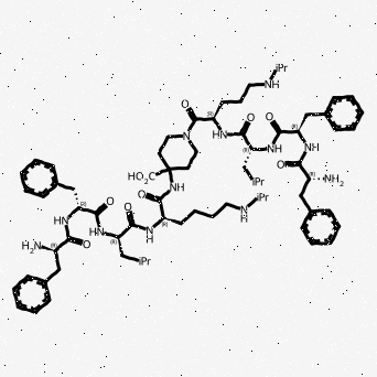 CC(C)C[C@@H](NC(=O)[C@@H](Cc1ccccc1)NC(=O)[C@H](N)Cc1ccccc1)C(=O)N[C@H](CCCCNC(C)C)C(=O)NC1(C(=O)O)CCN(C(=O)[C@@H](CCCNC(C)C)NC(=O)[C@@H](CC(C)C)NC(=O)[C@@H](Cc2ccccc2)NC(=O)[C@H](N)Cc2ccccc2)CC1